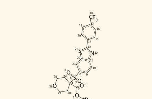 CC(C)(C)OC(=O)C1(S(=O)(=O)c2ccc3nc(-c4ccc(C(F)(F)F)cc4)sc3c2)CCOCC1